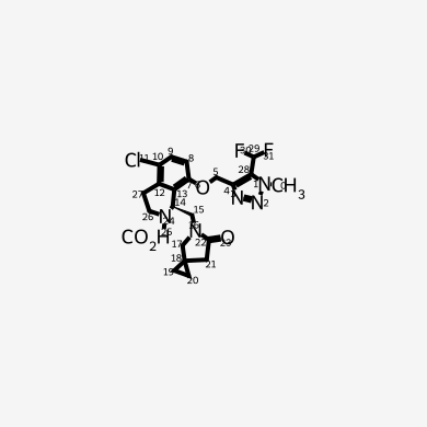 Cn1nnc(COc2ccc(Cl)c3c2[C@@H](CN2CC4(CC4)CC2=O)N(C(=O)O)CC3)c1C(F)F